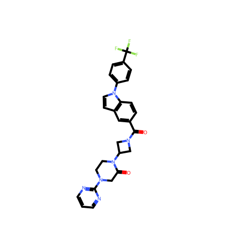 O=C(c1ccc2c(ccn2-c2ccc(C(F)(F)F)cc2)c1)N1CC(N2CCN(c3ncccn3)CC2=O)C1